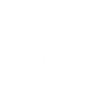 COc1c(B2OC(C)(C)C(C)(C)O2)ccc2occc12